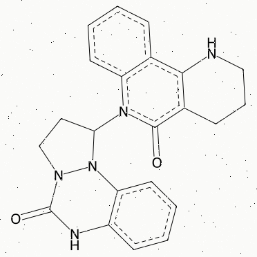 O=C1Nc2ccccc2N2C(n3c(=O)c4c(c5ccccc53)NCCC4)CCN12